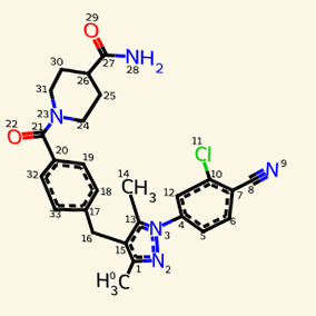 Cc1nn(-c2ccc(C#N)c(Cl)c2)c(C)c1Cc1ccc(C(=O)N2CCC(C(N)=O)CC2)cc1